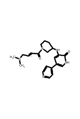 CN(C)C/C=C/C(=O)N1CCCC(Nc2cc(-c3ccncc3)c[nH]c2=O)C1